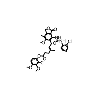 COc1ccc(OC(=O)CC/C(C)=C/Cc2c(NC(=O)Nc3ccccc3Cl)c3c(c(C)c2OC)COC3=O)c(Cl)c1OC